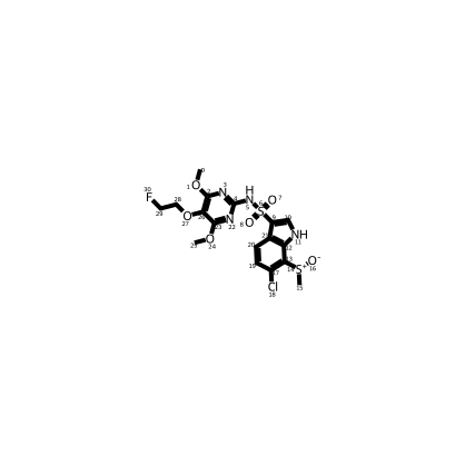 COc1nc(NS(=O)(=O)c2c[nH]c3c([S+](C)[O-])c(Cl)ccc23)nc(OC)c1OCCF